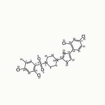 Cc1cc(S(=O)(=O)N2CCN(c3nc(-c4ccc(Cl)cc4Cl)cs3)CC2)c(Cl)cc1Cl